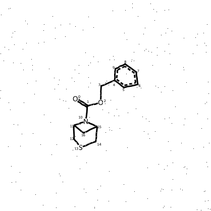 O=C(OCc1ccccc1)N1C2CSCC1C2